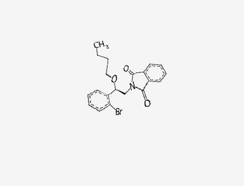 CCCCO[C@@H](CN1C(=O)c2ccccc2C1=O)c1ccccc1Br